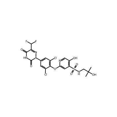 CC(C)(O)CNS(=O)(=O)c1cc(Oc2c(Cl)cc(-n3nc(C(F)F)c(=O)[nH]c3=O)cc2Cl)ncc1O